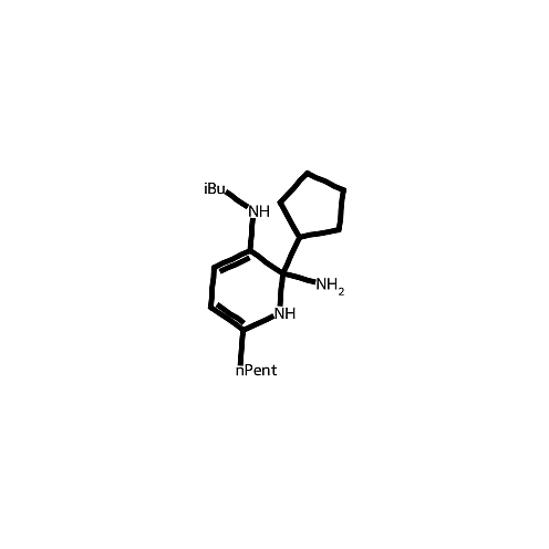 CCCCCC1=CC=C(NC(C)CC)C(N)(C2CCCC2)N1